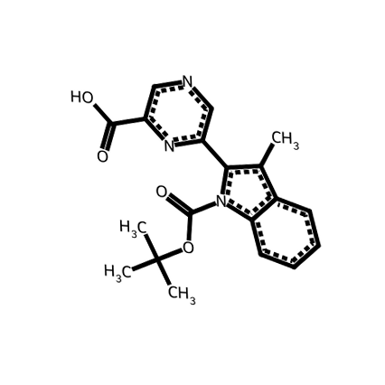 Cc1c(-c2cncc(C(=O)O)n2)n(C(=O)OC(C)(C)C)c2ccccc12